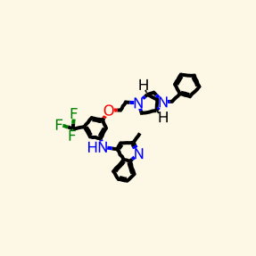 Cc1cc(Nc2cc(OCCN3C[C@H]4C[C@@H]3CN4Cc3ccccc3)cc(C(F)(F)F)c2)c2ccccc2n1